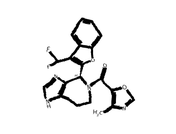 Cc1ncoc1C(=O)N1CCc2[nH]cnc2[C@H]1c1oc2ccccc2c1C(F)F